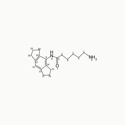 NCCCCCC(=O)Nc1c2c(cc3c1CCC3)CCC2